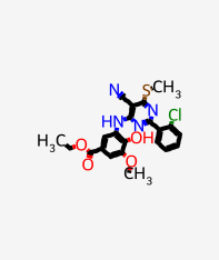 CCOC(=O)c1cc(Nc2nc(-c3ccccc3Cl)nc(SC)c2C#N)c(O)c(OC)c1